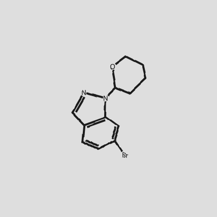 Brc1ccc2cnn(C3CCCCO3)c2c1